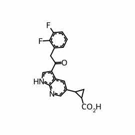 O=C(Cc1cccc(F)c1F)c1c[nH]c2ncc(C3CC3C(=O)O)cc12